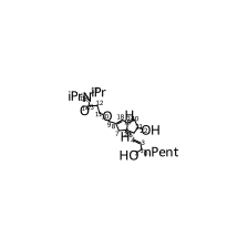 CCCCC[C@H](O)/C=C/[C@@H]1[C@H]2CC(COCCC(=O)N(C(C)C)C(C)C)=C[C@H]2C[C@H]1O